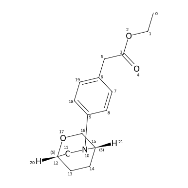 CCOC(=O)Cc1ccc(N2C[C@@H]3CC[C@H]2CO3)cc1